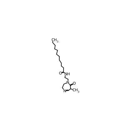 CCCCCCCCCCCC(=O)NCCN1CCN=CC(C)C1=O